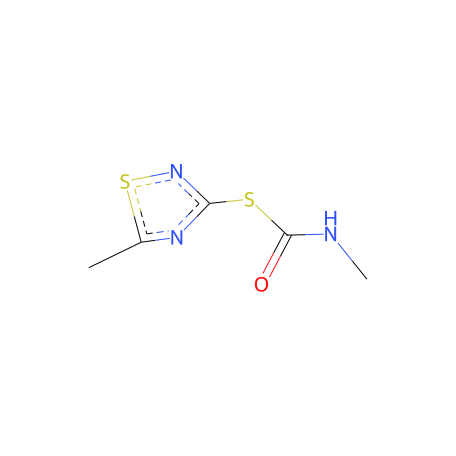 CNC(=O)Sc1nsc(C)n1